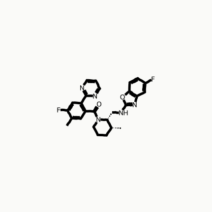 Cc1cc(C(=O)N2CCC[C@@H](C)[C@H]2CNc2nc3cc(F)ccc3o2)c(-c2ncccn2)cc1F